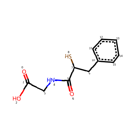 O=C(O)CNC(=O)C(S)Cc1ccccc1